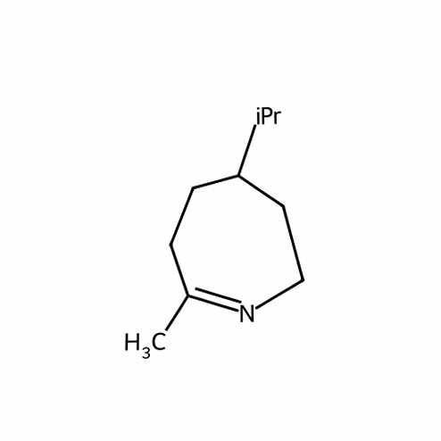 CC1=NCCC(C(C)C)CC1